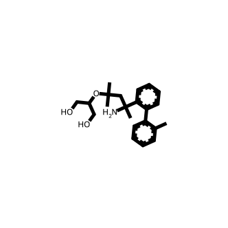 Cc1ccccc1-c1ccccc1C(C)(N)CC(C)(C)OC(CO)CO